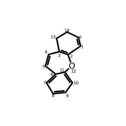 C1=CC2=C(C=Cc3ccccc3O2)CC1